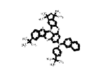 CC(C)(C)c1ccc(N(c2cc3c4c(c2)Oc2c(sc5ccc(C(C)(C)C)cc25)B4c2cc4c(cc2O3)C(C)(C)CC4(C)C)c2ccc3ccccc3c2)cc1